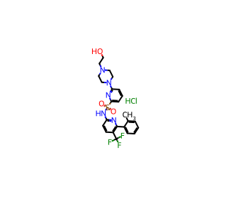 Cc1ccccc1-c1nc(NS(=O)(=O)c2cccc(N3CCN(CCO)CC3)n2)ccc1C(F)(F)F.Cl